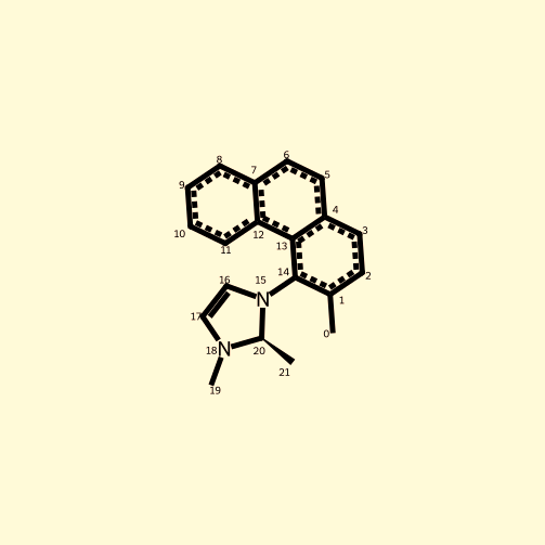 Cc1ccc2ccc3ccccc3c2c1N1C=CN(C)[C@@H]1C